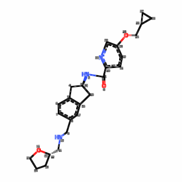 O=C(N[C@@H]1Cc2ccc(CNC[C@@H]3CCCO3)cc2C1)c1ccc(OCC2CC2)cn1